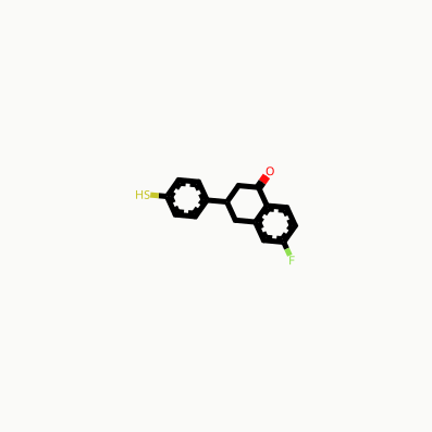 O=C1CC(c2ccc(S)cc2)Cc2cc(F)ccc21